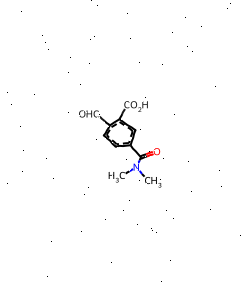 CN(C)C(=O)c1ccc(C=O)c(C(=O)O)c1